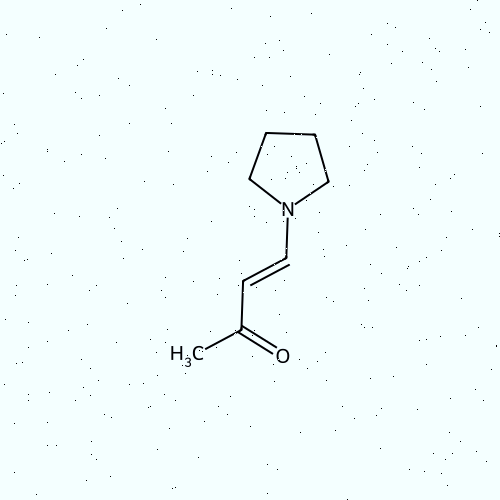 CC(=O)C=CN1CCCC1